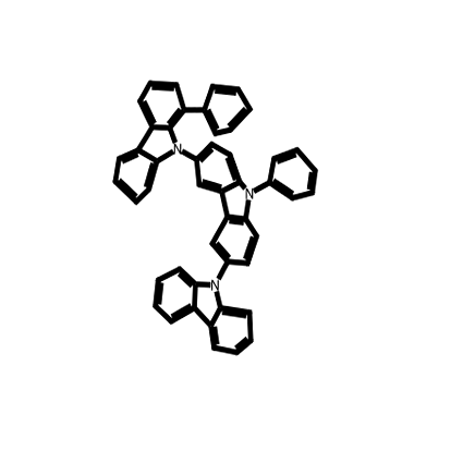 c1ccc(-c2cccc3c4ccccc4n(-c4ccc5c(c4)c4cc(-n6c7ccccc7c7ccccc76)ccc4n5-c4ccccc4)c23)cc1